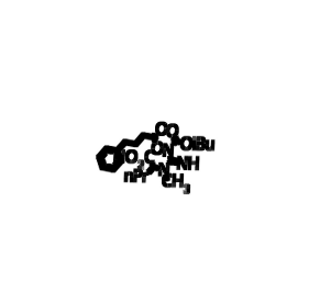 CCCC(C(=O)O)N(C)C(=N)N(OC(=O)CCCc1ccccc1)C(=O)OCC(C)C